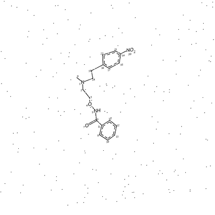 CN(CCONC(=O)c1ccccc1)CCc1ccc([N+](=O)[O-])cc1